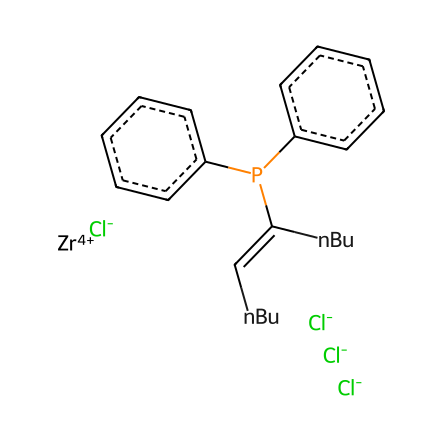 CCCCC=C(CCCC)P(c1ccccc1)c1ccccc1.[Cl-].[Cl-].[Cl-].[Cl-].[Zr+4]